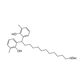 CCCCCCCCCCCCCCCCCCCCCC(c1cccc(C)c1O)c1cccc(C)c1O